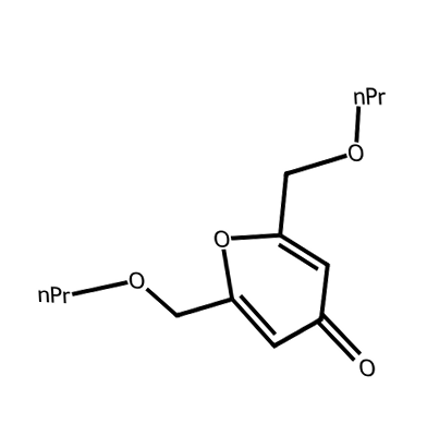 CCCOCc1cc(=O)cc(COCCC)o1